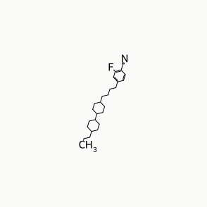 CCCC1CCC(C2CCC(CCCCc3ccc(C#N)c(F)c3)CC2)CC1